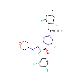 Cc1cc(F)c(C[C@@H](C(=O)O)N2CCN(C(=O)[C@@H]3CN(C4CCOCC4)C[C@H]3c3ccc(F)cc3F)[C@@H](C)C2)c(F)c1